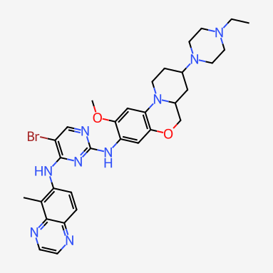 CCN1CCN(C2CCN3c4cc(OC)c(Nc5ncc(Br)c(Nc6ccc7nccnc7c6C)n5)cc4OCC3C2)CC1